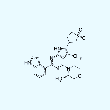 Cc1c(C2CCS(=O)(=O)C2)[nH]c2nc(-c3cccc4[nH]ccc34)nc(N3CCOC[C@H]3C)c12